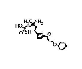 CC(N)(CCc1ccc(C(=O)CCOC2CCCCC2)s1)CCP(=O)(O)O